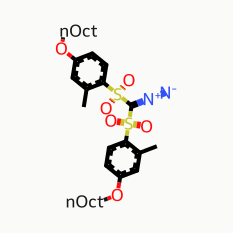 CCCCCCCCOc1ccc(S(=O)(=O)C(=[N+]=[N-])S(=O)(=O)c2ccc(OCCCCCCCC)cc2C)c(C)c1